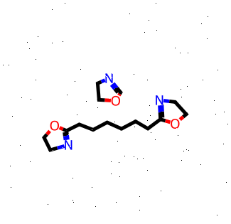 C(CCCC1=NCCO1)CCC1=NCCO1.C1=NCCO1